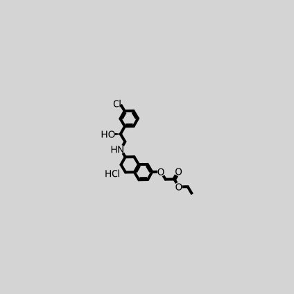 CCOC(=O)COc1ccc2c(c1)CC(NC[C@@H](O)c1cccc(Cl)c1)CC2.Cl